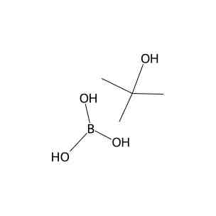 CC(C)(C)O.OB(O)O